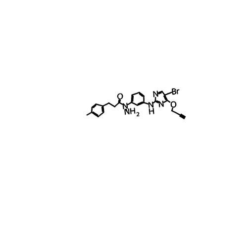 C#CCOc1nc(Nc2cccc(N(N)C(=O)CCc3ccc(C)cc3)c2)ncc1Br